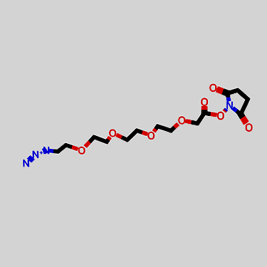 [N-]=[N+]=NCCOCCOCCOCCOCC(=O)ON1C(=O)CCC1=O